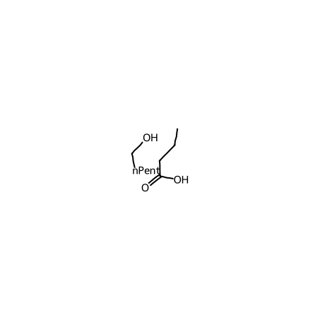 CCCC(=O)O.CCCCCCO